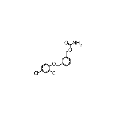 NC(=O)OCc1cccc(COc2ccc(Cl)cc2Cl)c1